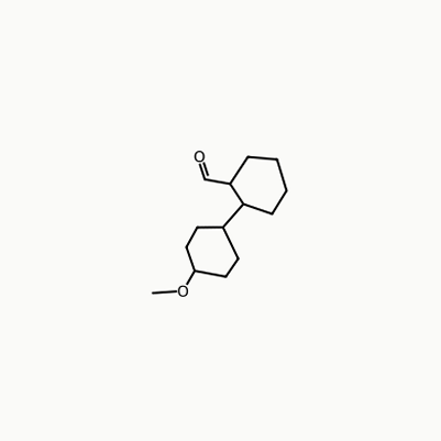 COC1CCC(C2CCCCC2C=O)CC1